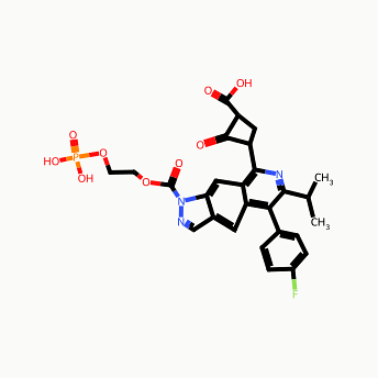 CC(C)c1nc(C2CC(C(=O)O)C2=O)c2cc3c(cnn3C(=O)OCCOP(=O)(O)O)cc2c1-c1ccc(F)cc1